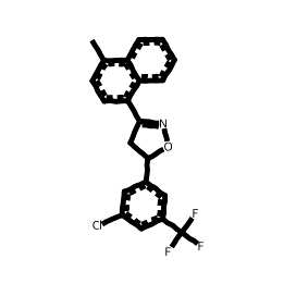 Cc1ccc(C2=NOC(c3cc(Cl)cc(C(F)(F)F)c3)C2)c2ccccc12